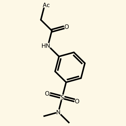 CC(=O)CC(=O)Nc1cccc(S(=O)(=O)N(C)C)c1